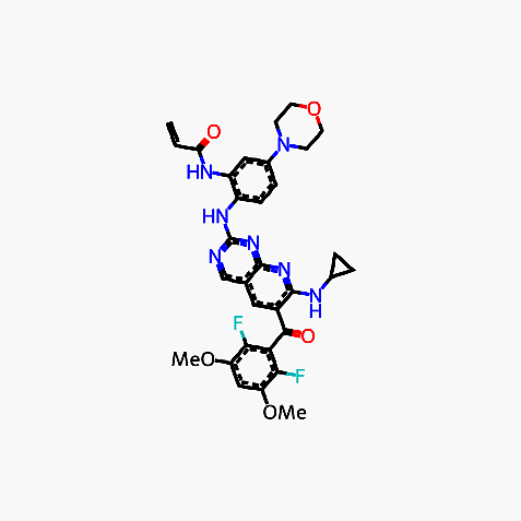 C=CC(=O)Nc1cc(N2CCOCC2)ccc1Nc1ncc2cc(C(=O)c3c(F)c(OC)cc(OC)c3F)c(NC3CC3)nc2n1